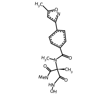 CNC(=O)[C@@](C)(C(=O)NO)N(C)C(=O)c1ccc(-c2cc(C)on2)cc1